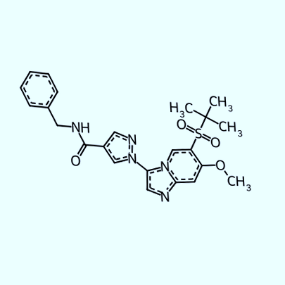 COc1cc2ncc(-n3cc(C(=O)NCc4ccccc4)cn3)n2cc1S(=O)(=O)C(C)(C)C